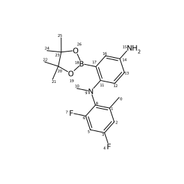 Cc1cc(F)cc(F)c1N(C)c1ccc(N)cc1B1OC(C)(C)C(C)(C)O1